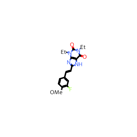 CCn1c(=O)c2[nH]c(/C=C/c3ccc(OC)c(F)c3)nc2n(CC)c1=O